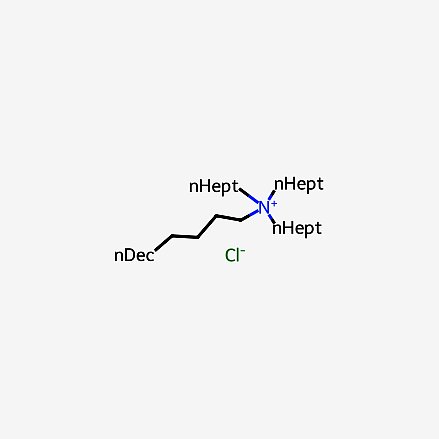 CCCCCCCCCCCCCC[N+](CCCCCCC)(CCCCCCC)CCCCCCC.[Cl-]